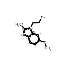 COc1ccc2sc(C)[n+](CCF)c2c1